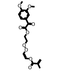 C=C(C)C(=O)O/C=C\OOCCOC(=O)C(=O)c1ccc(OC)c(OC)c1